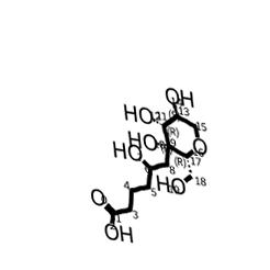 O=C(O)CCCC(O)C[C@@]1(O)[C@H](O)[C@@H](O)CO[C@@H]1CO